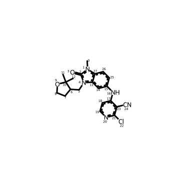 Cn1c(=O)n(CC2CCOC2(C)C)c2cc(Nc3ccnc(Cl)c3C#N)ccc21